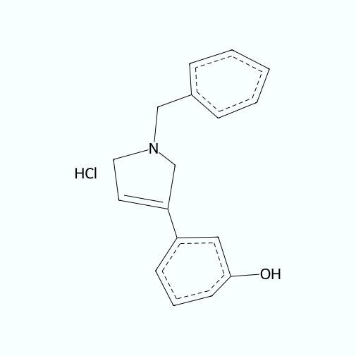 Cl.Oc1cccc(C2=CCN(Cc3ccccc3)C2)c1